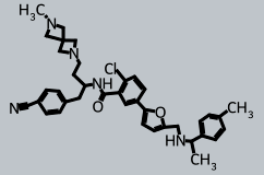 Cc1ccc(C(C)NCc2ccc(-c3ccc(Cl)c(C(=O)NC(CCN4CC5(CN(C)C5)C4)Cc4ccc(C#N)cc4)c3)o2)cc1